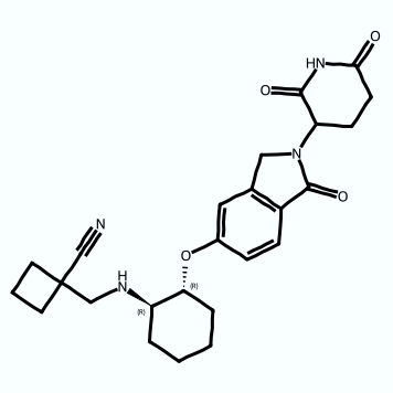 N#CC1(CN[C@@H]2CCCC[C@H]2Oc2ccc3c(c2)CN(C2CCC(=O)NC2=O)C3=O)CCC1